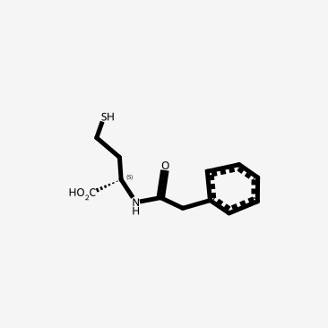 O=C(Cc1ccccc1)N[C@@H](CCS)C(=O)O